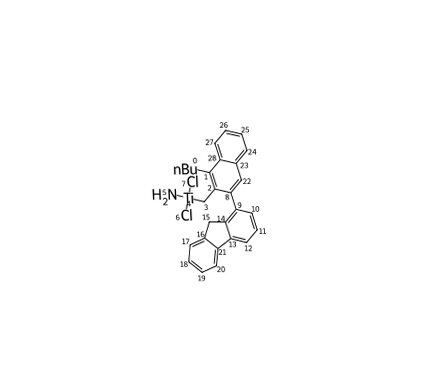 CCCCc1c([CH2][Ti]([NH2])([Cl])[Cl])c(-c2cccc3c2Cc2ccccc2-3)cc2ccccc12